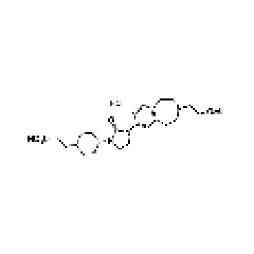 COCCN1CCc2ccc(N3CCN([C@H]4CC[C@H](CCC(=O)O)CC4)C3=O)cc2CC1.Cl